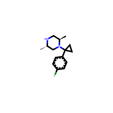 C[C@@H]1CN[C@@H](C)CN1C1(c2ccc(F)cc2)CC1